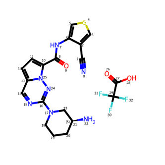 N#Cc1cscc1NC(=O)c1ccc2cnc(N3CCC[C@H](N)C3)nn12.O=C(O)C(F)(F)F